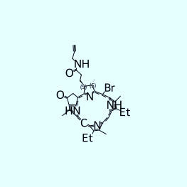 C#CCNC(=O)CC[C@@H]1c2nc(c(Br)c3[nH]c(cc4nc(cc5[nH]c6c2CC(=O)c6c5C)C(CC)=C4C)c(CC)c3C)[C@H]1C